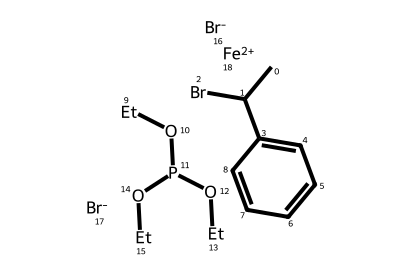 CC(Br)c1ccccc1.CCOP(OCC)OCC.[Br-].[Br-].[Fe+2]